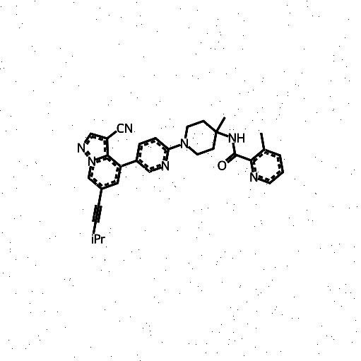 Cc1cccnc1C(=O)NC1(C)CCN(c2ccc(-c3cc(C#CC(C)C)cn4ncc(C#N)c34)cn2)CC1